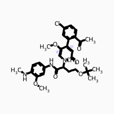 CNc1ccc(NC(=O)C(CCOC(C)(C)C)N(C)/C=C(OC)\C(=C/C=O)c2cc(Cl)ccc2C(C)=O)cc1OC